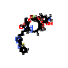 CC[C@H]1OC(=O)[C@](C)(F)C(=O)C[C@@H](O[C@@H]2OC(C)CC(N(C)C)C2O)[C@](C)(OC)C[C@@H](C)CN[C@H](C)[C@H]2N(CCCCn3cc(-c4nc5ccccc5s4)nn3)C(=O)O[C@]12C